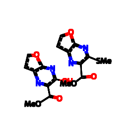 COC(=O)c1nc2ccoc2nc1O.COC(=O)c1nc2ccoc2nc1SC